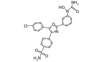 NC(=O)N(O)c1cccc(-c2nc(-c3ccc(S(N)(=O)=O)cc3)c(-c3ccc(Cl)cc3)o2)c1